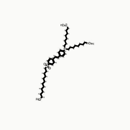 CCCCCCCCCCCCCCCCCCN(CCCCCCCCCCCCCCCCCC)c1ccc(C=Cc2ccc(S(=O)(=O)CCCCCCCCCCCCO)cc2)cc1